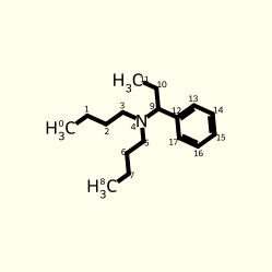 CCCCN(CCCC)C(CC)c1ccccc1